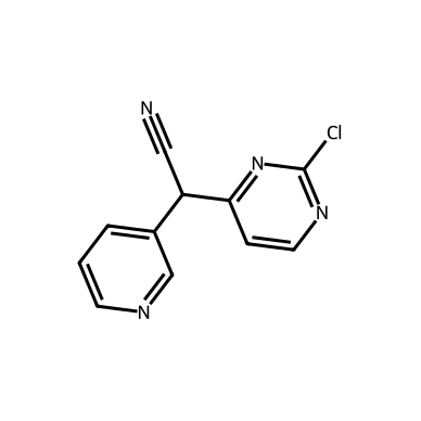 N#CC(c1cccnc1)c1ccnc(Cl)n1